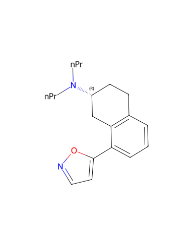 CCCN(CCC)[C@@H]1CCc2cccc(-c3ccno3)c2C1